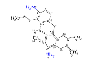 C=CCc1c(N)ccc(Cc2ccc(N)c(CC=C)c2CC=C)c1CC=C